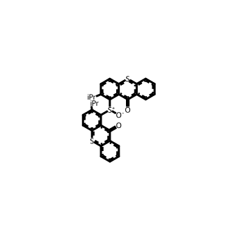 CC(C)c1ccc2sc3ccccc3c(=O)c2c1[S+]([O-])c1c(C(C)C)ccc2sc3ccccc3c(=O)c12